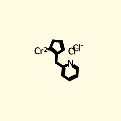 [Cl-].[Cl-].[Cr+2][C]1=C(Cc2ccccn2)C=CC1